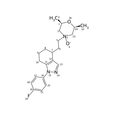 C[C@@H]1C[N+]([O-])(CCC2CCCc3c2cnn3-c2ccc(F)cc2)C[C@H](C)O1